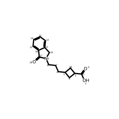 O=C(O)C1CC(CCCN2Cc3ccccc3C2=O)C1